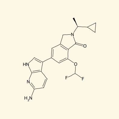 C[C@@H](C1CC1)N1Cc2cc(-c3c[nH]c4nc(N)ccc34)cc(OC(F)F)c2C1=O